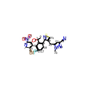 CC(Oc1cc(Br)cnc1[N+](=O)[O-])c1cc(F)ccc1-c1nscc1Cc1cc(C#N)nn1C